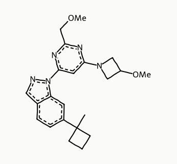 COCc1nc(N2CC(OC)C2)cc(-n2ncc3ccc(C4(C)CCC4)cc32)n1